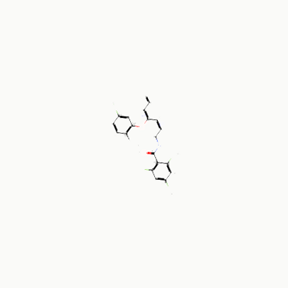 C=C/C=C(\C=C/CNC(=O)c1c(F)cc(F)cc1F)Oc1cc(F)ccc1C(F)(F)F